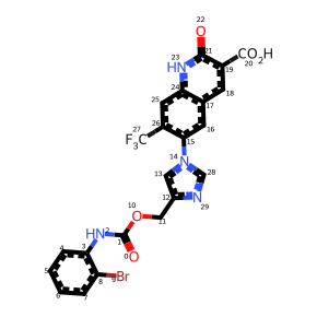 O=C(Nc1ccccc1Br)OCc1cn(-c2cc3cc(C(=O)O)c(=O)[nH]c3cc2C(F)(F)F)cn1